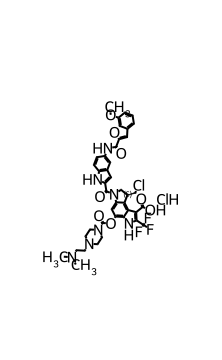 COc1cccc2cc(C(=O)Nc3ccc4[nH]c(C(=O)N5C[C@@H](CCl)c6c5cc(OC(=O)N5CCN(CCN(C)C)CC5)c5[nH]c(C(F)(F)F)c(C(=O)O)c65)cc4c3)oc12.Cl